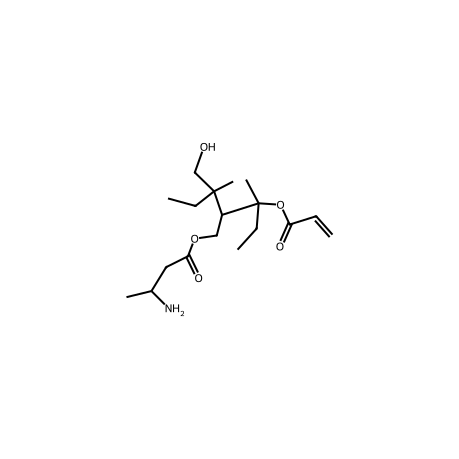 C=CC(=O)OC(C)(CC)C(COC(=O)CC(C)N)C(C)(CC)CO